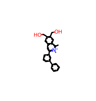 Cc1c2cc(CO)c(CO)cc2cc(-c2cccc(-c3ccccc3)c2)[n+]1C